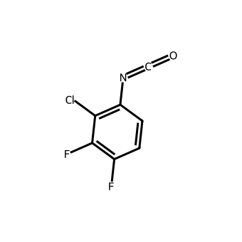 O=C=Nc1ccc(F)c(F)c1Cl